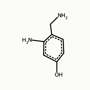 NCc1ccc(O)cc1N